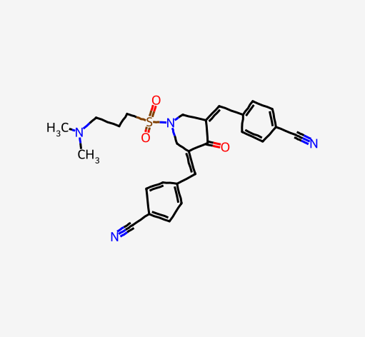 CN(C)CCCS(=O)(=O)N1C/C(=C/c2ccc(C#N)cc2)C(=O)/C(=C/c2ccc(C#N)cc2)C1